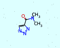 CN(C)C(=O)C1=C[N]N=N1